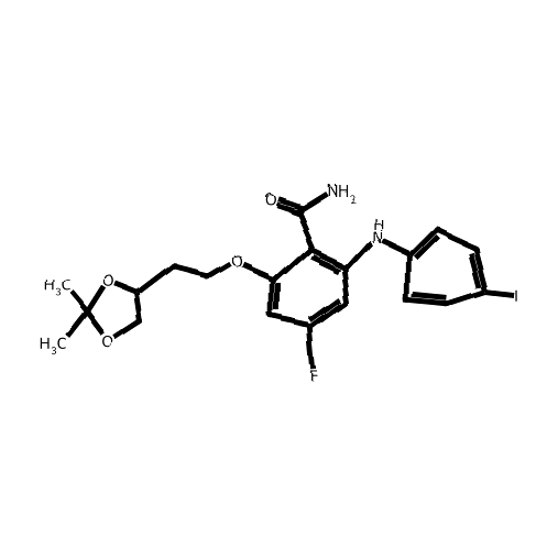 CC1(C)OCC(CCOc2cc(F)cc(Nc3ccc(I)cc3)c2C(N)=O)O1